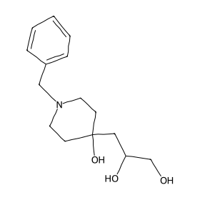 OCC(O)CC1(O)CCN(Cc2ccccc2)CC1